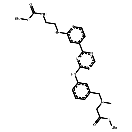 CN(CC(=O)OC(C)(C)C)Cc1cccc(Nc2ncnc(-c3ccnc(NCCNC(=O)OC(C)(C)C)c3)n2)c1